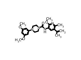 C=C(C)c1cc(NC(=O)N2CCN(c3cc(OC)cc(OC)c3)CC2)c(OC)nc1C